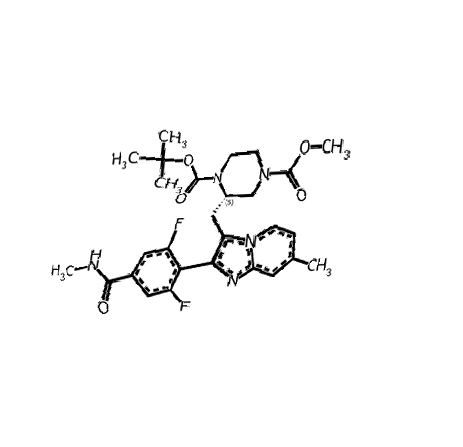 CNC(=O)c1cc(F)c(-c2nc3cc(C)ccn3c2C[C@H]2CN(C(=O)OC)CCN2C(=O)OC(C)(C)C)c(F)c1